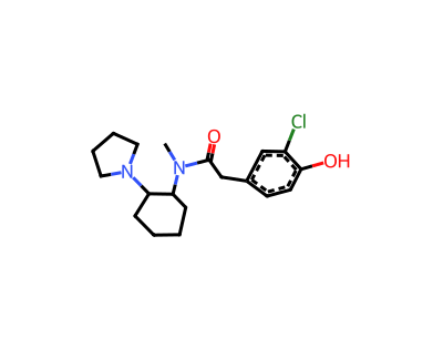 CN(C(=O)Cc1ccc(O)c(Cl)c1)C1CCCCC1N1CCCC1